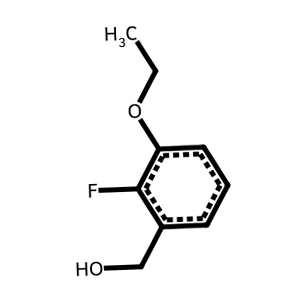 CCOc1cccc(CO)c1F